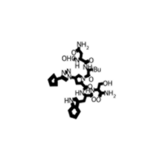 CCC(C)C(NC(=O)C(CC(N)=O)NC=O)C(=O)N1CC(n2cc(C3=C=C=C=C3)nn2)CC1C(=O)NC(Cc1c[nH]c2ccccc12)C(=O)NC(CO)C(N)=O